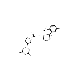 CC1CC(C)CN(C2CCN(C(=O)OC[C@H]3CCC[C@H]4c5cc(Cl)ccc5S(=O)(=O)N34)C2)C1